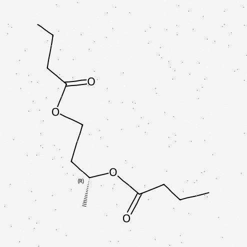 CCCC(=O)OCC[C@@H](C)OC(=O)CCC